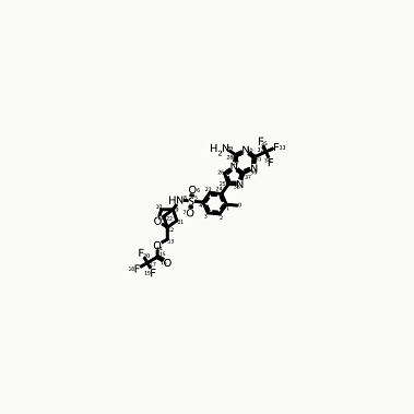 Cc1ccc(S(=O)(=O)NC23COC(COC(=O)C(F)(F)F)(C2)C3)cc1-c1cn2c(N)nc(C(F)(F)F)nc2n1